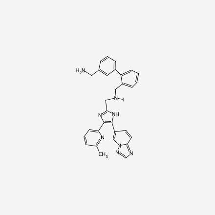 Cc1cccc(-c2nc(CN(I)Cc3ccccc3-c3cccc(CN)c3)[nH]c2-c2ccc3ncnn3c2)n1